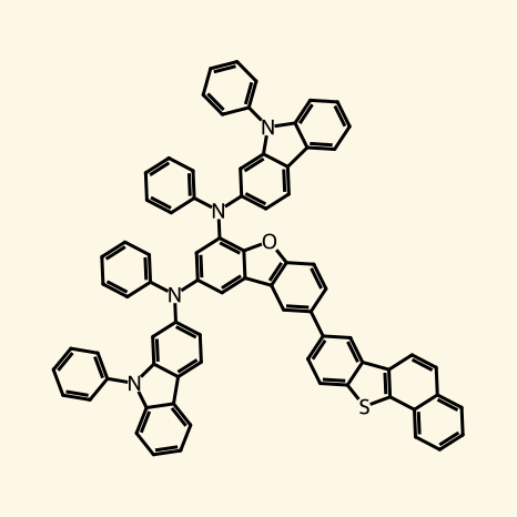 c1ccc(N(c2cc(N(c3ccccc3)c3ccc4c5ccccc5n(-c5ccccc5)c4c3)c3oc4ccc(-c5ccc6sc7c8ccccc8ccc7c6c5)cc4c3c2)c2ccc3c4ccccc4n(-c4ccccc4)c3c2)cc1